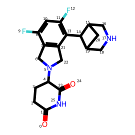 O=C1CCC(N2Cc3c(F)cc(F)c(C4C5CNCC4C5)c3C2)C(=O)N1